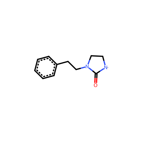 O=C1[N]CCN1CCc1ccccc1